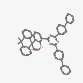 CC1(C)c2ccccc2C2(c3ccccc3Oc3c(-c4nc(-c5ccc(-c6ccccc6)cc5)nc(-c5ccc(-c6ccccc6)cc5)n4)cccc32)c2ccccc21